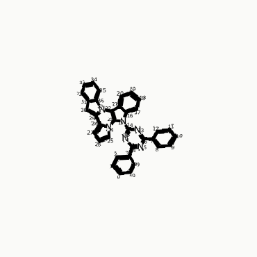 c1ccc(-c2nc(-c3ccccc3)nc(-n3c4ccccc4c4c3n3cccc3c3cc5ccccc5n34)n2)cc1